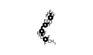 Cc1c(F)cc(OC(F)(F)c2c(F)cc(Cc3ccc(C(F)(F)Oc4cc(F)c(C(F)(F)F)c(F)c4)c(F)c3)cc2F)cc1F